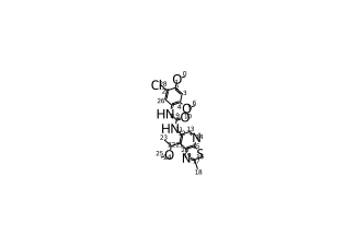 COc1cc(OC)c(NC(=O)Nc2cnc3sc(C)nc3c2C(C)OC)cc1Cl